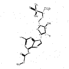 CCOC(=O)[C@H](OC[C@H]1O[C@@H](n2cnc3c(NC(=O)OC(C)(C)C)nc(Cl)nc32)[C@@H](F)[C@@H]1O)P(=O)(O)O